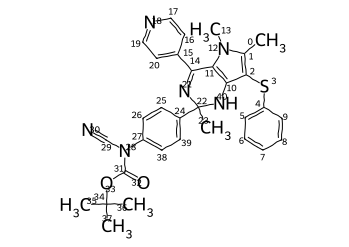 Cc1c(Sc2ccccc2)c2c(n1C)C(c1ccncc1)=NC(C)(c1ccc(N(C#N)C(=O)OC(C)(C)C)cc1)N2